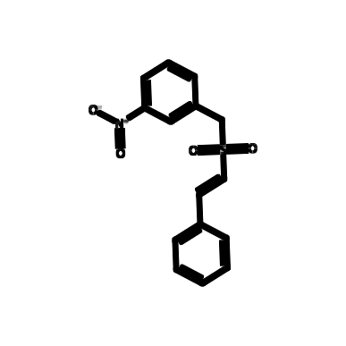 O=[N+]([O-])c1cccc(CS(=O)(=O)C=Cc2ccccc2)c1